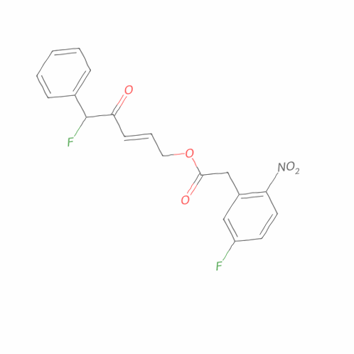 O=C(Cc1cc(F)ccc1[N+](=O)[O-])OC/C=C/C(=O)C(F)c1ccccc1